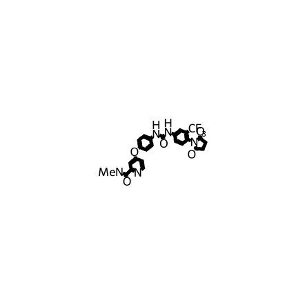 CNC(=O)c1cc(Oc2ccc(NC(=O)Nc3ccc(N4C(=O)CCC4=O)c(C(F)(F)F)c3)cc2)ccn1